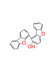 Oc1ccc2oc3ccccc3c2c1-c1cccc2c1oc1ccccc12